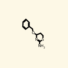 NC1=NC(OCc2ccccc2)CCS1